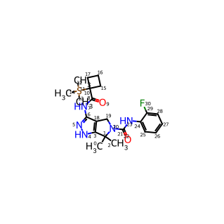 CC1(C)c2[nH]nc(NC(=O)C3(S(C)(C)C)CCC3)c2CN1C(=O)Nc1ccccc1F